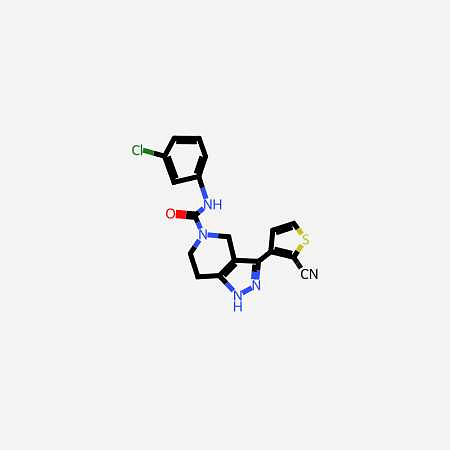 N#Cc1sccc1-c1n[nH]c2c1CN(C(=O)Nc1cccc(Cl)c1)CC2